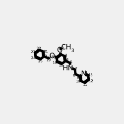 COc1cc(CNCCc2ccccn2)ccc1OCc1ccccc1